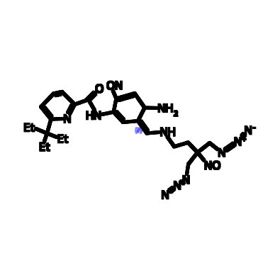 CCC(CC)(CC)c1cccc(C(=O)NC2=C/C(=C/NCCC(CN=[N+]=[N-])(CN=[N+]=[N-])N=O)C(N)C=C2N=O)n1